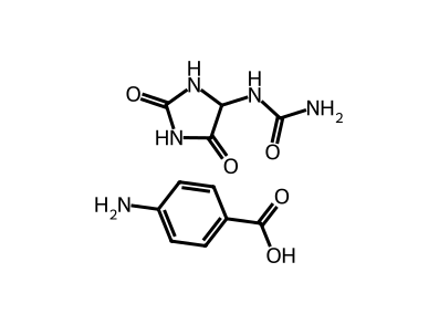 NC(=O)NC1NC(=O)NC1=O.Nc1ccc(C(=O)O)cc1